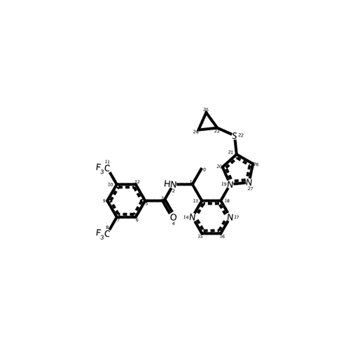 CC(NC(=O)c1cc(C(F)(F)F)cc(C(F)(F)F)c1)c1nccnc1-n1cc(SC2CC2)cn1